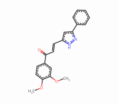 COc1ccc(C(=O)C=Cc2cc(-c3ccccc3)n[nH]2)cc1OC